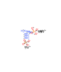 N.N.N.N.N.N.O=P([O-])([O-])[O-].O=P([O-])([O-])[O-].[Mg+2].[Mg+2].[Mg+2]